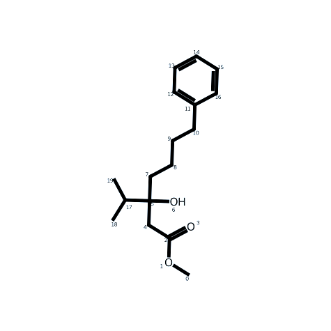 COC(=O)CC(O)(CCCCc1ccccc1)C(C)C